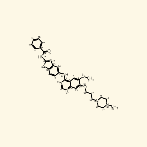 COc1cc2c(Nc3ccc4sc(NC(=O)c5ccccc5)nc4c3)ncnc2cc1OCCCN1CCN(C)CC1